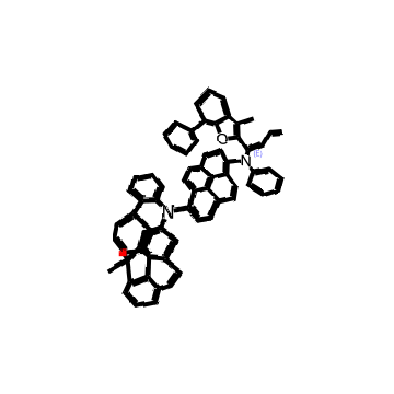 C=C/C=C(\c1oc2c(-c3ccccc3)cccc2c1C)N(c1ccccc1)c1ccc2ccc3c(N(c4cc5c6c(ccc7cccc(c76)C5(C)C)c4)c4ccccc4-c4ccccc4)ccc4ccc1c2c43